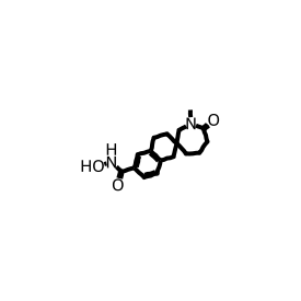 CN1CC2(CCCC1=O)CCc1cc(C(=O)NO)ccc1C2